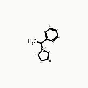 CC(c1[c]cccc1)N1CCCC1